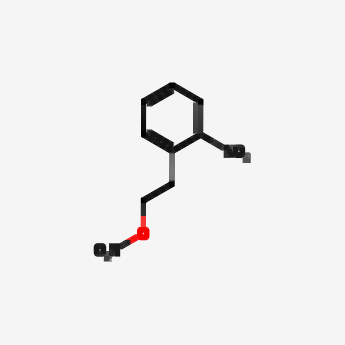 O=[N+]([O-])OCCc1ccccc1[N+](=O)[O-]